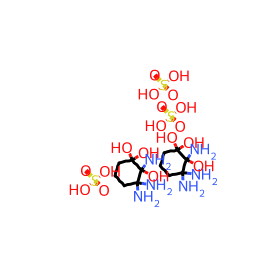 NC1(N)CCCC(O)(O)C1(N)O.NC1(N)CCCC(O)(O)C1(N)O.O=S(=O)(O)O.O=S(=O)(O)O.O=S(=O)(O)O